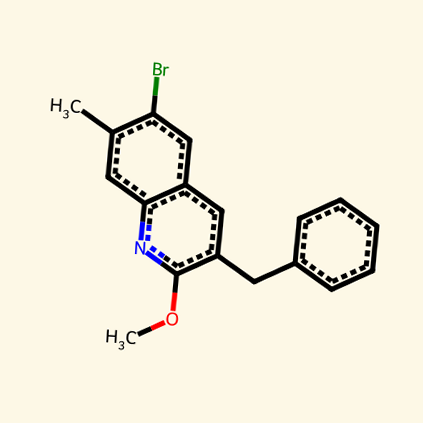 COc1nc2cc(C)c(Br)cc2cc1Cc1ccccc1